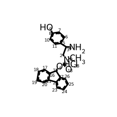 CN(CC(N)c1ccc(O)cc1)C(=O)OC1c2ccccc2-c2ccccc21.Cl